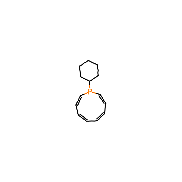 c1ccccp(C2CCCCC2)ccc1